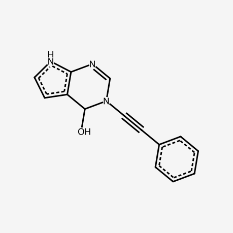 OC1c2cc[nH]c2N=CN1C#Cc1ccccc1